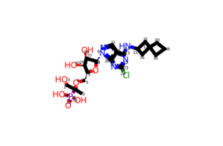 CC(CO)(OC[C@H]1O[C@@H](n2ncc3c(NC4CC5(CCC5)C4)nc(Cl)nc32)[C@H](O)[C@@H]1O)P(=O)(O)O